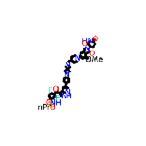 CCCS(=O)(=O)Nc1ccc(F)c(C(=O)c2c[nH]c3ncc(-c4ccc(N5CC6(CN(CC7CCN(c8cc9c(c(OC)c8)C(=O)N([C@@H]8CCC(=O)NC8=O)C9)CC7)C6)C5)cc4)cc23)c1F